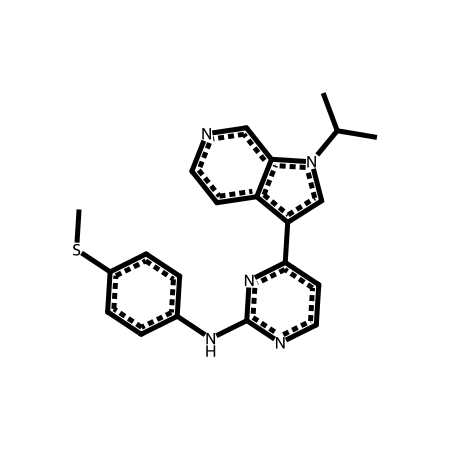 CSc1ccc(Nc2nccc(-c3cn(C(C)C)c4cnccc34)n2)cc1